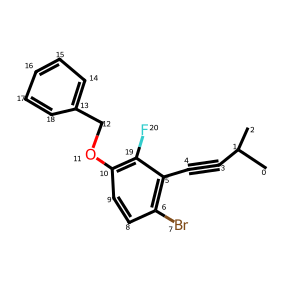 CC(C)C#Cc1c(Br)ccc(OCc2ccccc2)c1F